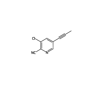 CC#Cc1cnc(C#N)c(Cl)c1